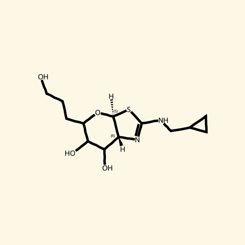 OCCCC1O[C@H]2SC(NCC3CC3)=N[C@@H]2C(O)C1O